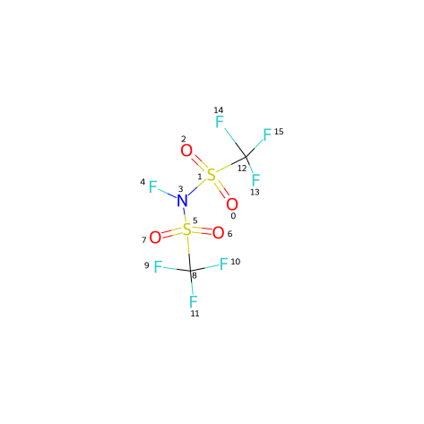 O=S(=O)(N(F)S(=O)(=O)C(F)(F)F)C(F)(F)F